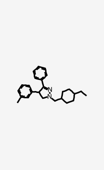 CCC1CCC(CN2CC(c3cccc(C)c3)C(c3ccccc3)=N2)CC1